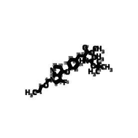 CCCOCn1cc(F)c2c(Oc3ccc(CC(NC(=O)OC(C)(C)C)C(=O)OC)cc3)ccnc21